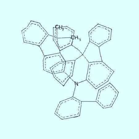 CC1(C)c2ccccc2-c2ccc(N(c3ccccc3-c3ccccc3)c3cccc4c3C(c3ccccc3)(c3ccccc3)c3ccccc3-4)cc21